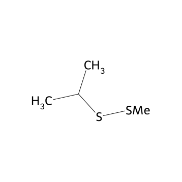 [CH2]SSC(C)C